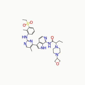 CCC(C(=O)Nc1nccc2c(-c3nc(Nc4cccc(S(=O)(=O)CC)c4C)ncc3C)c[nH]c12)N1CCN(C2COC2)CC1